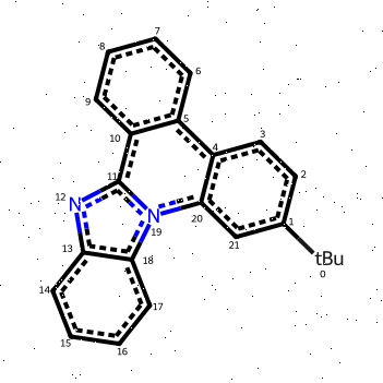 CC(C)(C)c1ccc2c3ccccc3c3nc4ccccc4n3c2c1